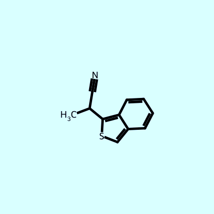 CC(C#N)c1scc2ccccc12